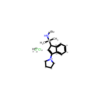 CC(C)(C)N[Si](C)(C)C1C=C(N2CCCC2)c2ccccc21.[Cl-].[Cl-].[Hf+2]